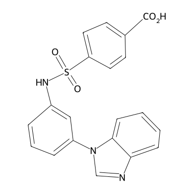 O=C(O)c1ccc(S(=O)(=O)Nc2cccc(-n3cnc4ccccc43)c2)cc1